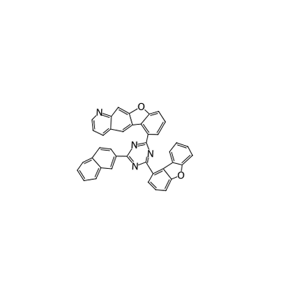 c1ccc2cc(-c3nc(-c4cccc5oc6ccccc6c45)nc(-c4cccc5oc6cc7ncccc7cc6c45)n3)ccc2c1